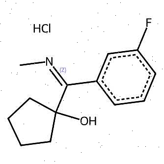 C/N=C(/c1cccc(F)c1)C1(O)CCCC1.Cl